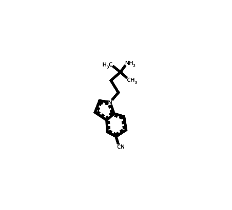 CC(C)(N)CCn1ccc2cc(C#N)ccc21